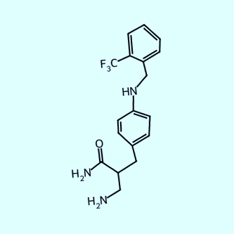 NCC(Cc1ccc(NCc2ccccc2C(F)(F)F)cc1)C(N)=O